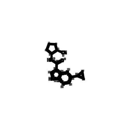 N#C[C@@H]1CCC[C@@H]1NC(=O)c1c[nH]c2ncc(C3CC3)nc12